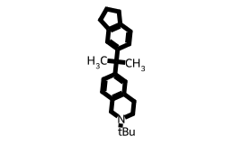 CC(C)(c1ccc2c(c1)CCC2)c1ccc2c(c1)CCN(C(C)(C)C)C2